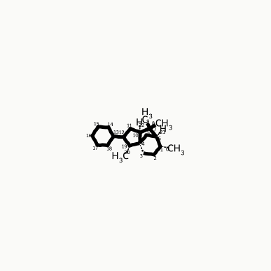 C[C@@H]1CC[C@@]23C[C@H]1C(C)(C)[C@@H]2CC(C1CCCCC1)[C@H]3C